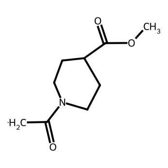 [CH2]C(=O)N1CCC(C(=O)OC)CC1